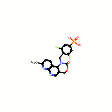 COc1ccc2c3c(cnc2n1)COC(=O)N3Cc1c(F)cc(P(=O)(O)O)cc1F